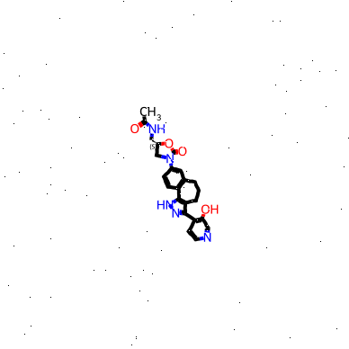 CC(=O)NC[C@H]1CN(c2ccc3c(c2)CCCc2c(-c4ccncc4O)n[nH]c2-3)C(=O)O1